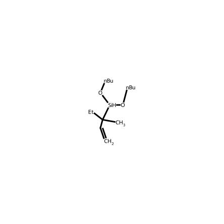 C=CC(C)(CC)[SiH](OCCCC)OCCCC